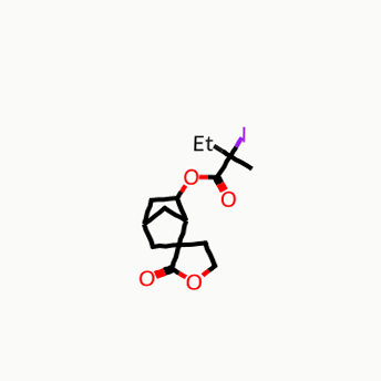 CCC(C)(I)C(=O)OC1CC2CC1C1(CCOC1=O)C2